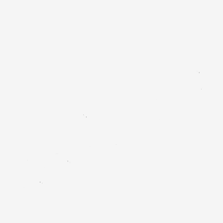 C=C(c1ccc(-c2ccc(C[C@@H](C#N)NC(=O)C3NC4CCC3C4)c(F)c2)cc1)N1CCCCC1